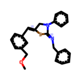 COCc1cccc(/C=C2/CN(c3ccccc3)/C(=N/Cc3ccccc3)S2)c1